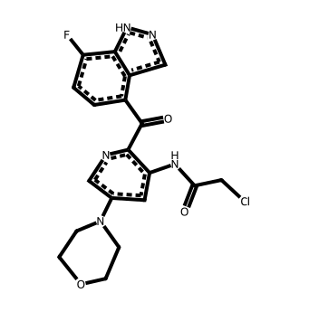 O=C(CCl)Nc1cc(N2CCOCC2)cnc1C(=O)c1ccc(F)c2[nH]ncc12